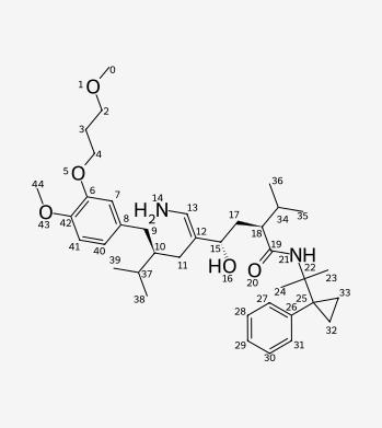 COCCCOc1cc(C[C@@H](C/C(=C\N)[C@@H](O)C[C@H](C(=O)NC(C)(C)C2(c3ccccc3)CC2)C(C)C)C(C)C)ccc1OC